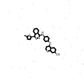 Cc1ccc(-c2nnc(Nc3ccc(Oc4ccnc5cc(C#N)ccc45)cc3)c3ccccc23)s1